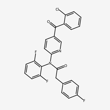 O=C(c1ccc(N(C(=O)Cc2ccc(F)cc2)c2c(F)cccc2F)nc1)c1ccccc1Cl